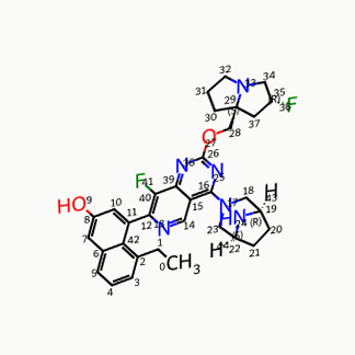 CCc1cccc2cc(O)cc(-c3ncc4c(N5C[C@H]6CC[C@@H](C5)N6)nc(OC[C@@]56CCCN5C[C@H](F)C6)nc4c3F)c12